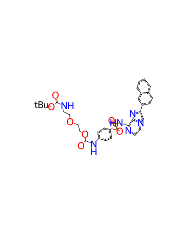 CC(C)(C)OC(=O)NCCOCCOC(=O)Nc1ccc(S(=O)(=O)Nc2nccn3cc(-c4ccc5ccccc5c4)nc23)cc1